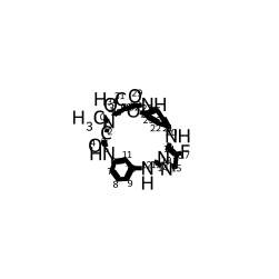 CN1CC(=O)Nc2cccc(c2)Nc2ncc(F)c(n2)Nc2ccc3c(c2)NC(=O)[C@](C)(O3)C1=O